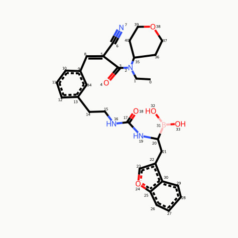 CCN(C(=O)C(C#N)=Cc1cccc(CCNC(=O)NC(Cc2coc3ccccc23)B(O)O)c1)C1CCOCC1